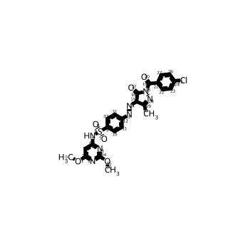 COc1cc(NS(=O)(=O)c2ccc(/N=N/C3C(=O)N(C(=O)c4ccc(Cl)cc4)N=C3C)cc2)nc(OC)n1